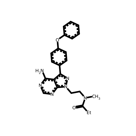 CCC(=O)N(C)CCn1nc(-c2ccc(Oc3ccccc3)cc2)c2c(N)ncnc21